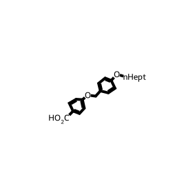 CCCCCCCOc1ccc(COc2ccc(C(=O)O)cc2)cc1